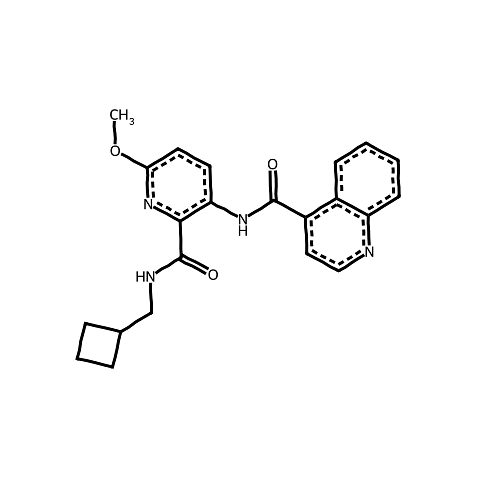 COc1ccc(NC(=O)c2ccnc3ccccc23)c(C(=O)NCC2CCC2)n1